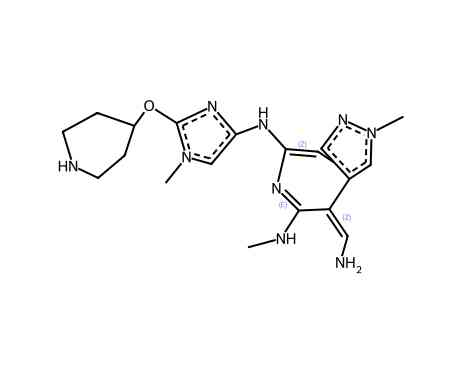 C\C=C(/N=C(NC)\C(=C/N)c1cnn(C)c1)Nc1cn(C)c(OC2CCNCC2)n1